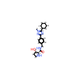 Cn1nc(-c2ccc(CNC(=O)[C@H]3NCC[C@@H]3O)cc2)nc1C1CCCCC1